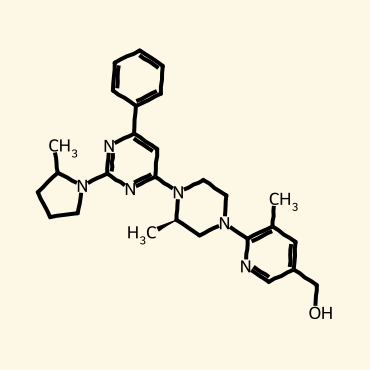 Cc1cc(CO)cnc1N1CCN(c2cc(-c3ccccc3)nc(N3CCCC3C)n2)[C@H](C)C1